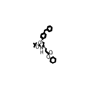 CC(C)(C)OC(=O)N[C@@H](CCC(=O)OC1CCCCC1)CSc1ccc(Cc2ccccc2)cc1